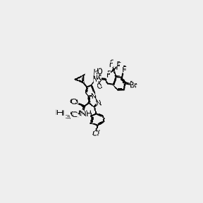 CNC(=O)c1c(-c2ccc(Cl)cc2)nn2cc(NS(=O)(=O)CCc3ccc(Br)c(F)c3C(F)(F)F)c(C3CC3)cc12